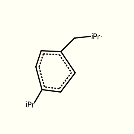 C[C](C)Cc1ccc(C(C)C)cc1